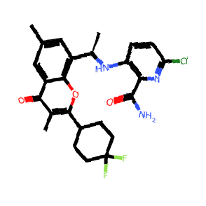 Cc1cc([C@@H](C)Nc2ccc(Cl)nc2C(N)=O)c2oc(C3CCC(F)(F)CC3)c(C)c(=O)c2c1